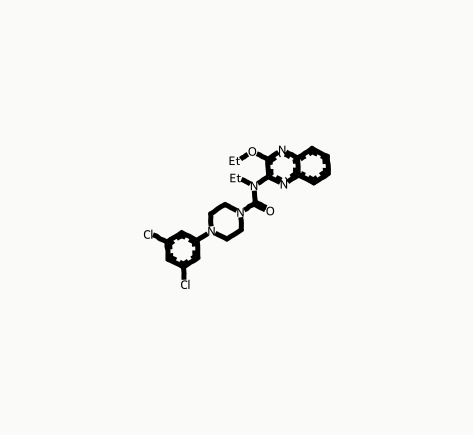 CCOc1nc2ccccc2nc1N(CC)C(=O)N1CCN(c2cc(Cl)cc(Cl)c2)CC1